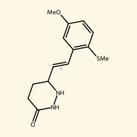 COc1ccc(SC)c(/C=C/C2CCC(=O)NN2)c1